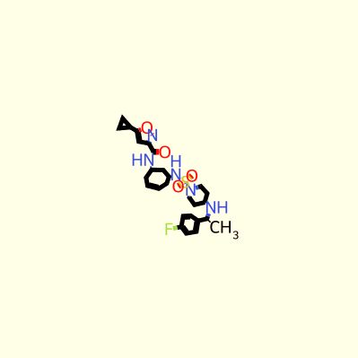 C[C@@H](NC1CCN(S(=O)(=O)N[C@H]2CC=CC[C@H](NC(=O)c3cc(C4CC4)on3)C2)CC1)c1ccc(F)cc1